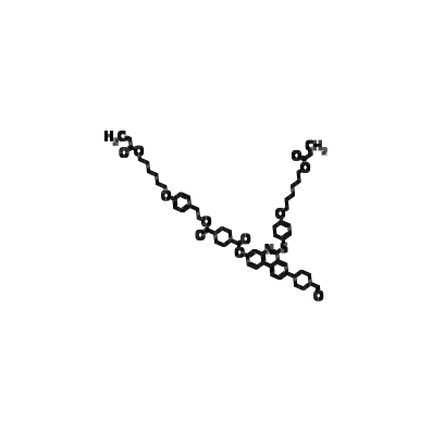 C=CC(=O)OCCCCCCOC1=CC=C(Sc2nc3cc(OC(=O)C4CCC(C(=O)OCCc5ccc(OCCCCCCOC(=O)C=C)cc5)CC4)ccc3c3ccc(C4CCC(C=O)CC4)cc23)CC1